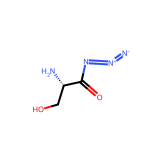 [N-]=[N+]=NC(=O)[C@@H](N)CO